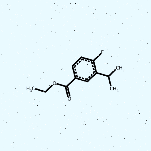 CCOC(=O)c1ccc(F)c(C(C)C)c1